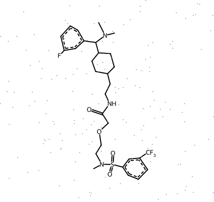 CN(C)C(c1cccc(F)c1)C1CCC(CCNC(=O)COCCN(C)S(=O)(=O)c2cccc(C(F)(F)F)c2)CC1